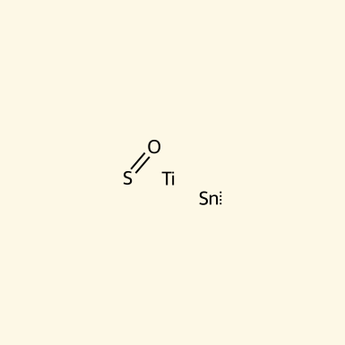 O=S.[Sn].[Ti]